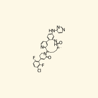 C[C@@H]1CCC[C@H](N2CCC(c3c(F)ccc(Cl)c3F)=CC2=O)c2cc(ccn2)-c2ccc(Nc3ccncn3)cc2NC1=O